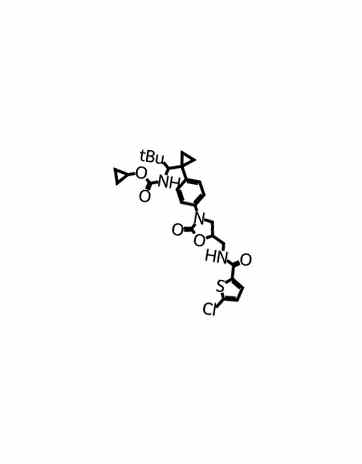 CC(C)(C)C(NC(=O)OC1CC1)C1(c2ccc(N3CC(CNC(=O)c4ccc(Cl)s4)OC3=O)cc2)CC1